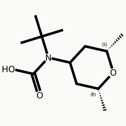 C[C@@H]1CC(N(C(=O)O)C(C)(C)C)C[C@H](C)O1